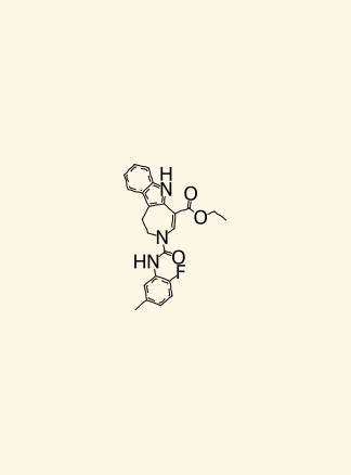 CCOC(=O)C1=CN(C(=O)Nc2cc(C)ccc2F)CCc2c1[nH]c1ccccc21